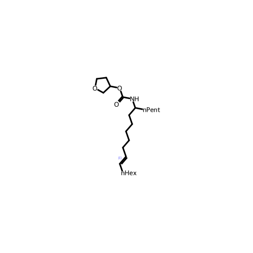 CCCCCC/C=C/CCCCCC(CCCCC)NC(=O)OC1CCOC1